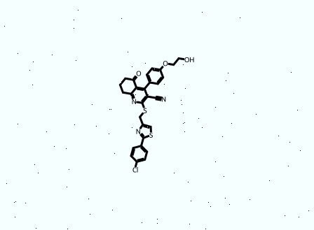 N#Cc1c(SCc2csc(-c3ccc(Cl)cc3)n2)nc2c(c1-c1ccc(OCCO)cc1)C(=O)CCC2